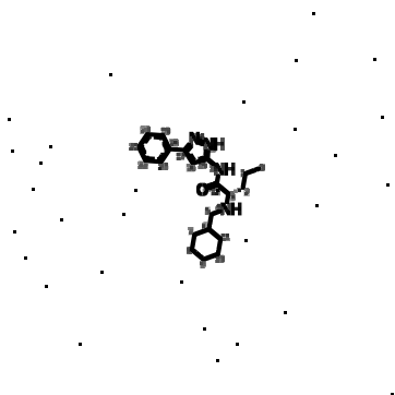 CCC[C@H](NCC1CCCCC1)C(=O)Nc1cc(-c2ccccc2)n[nH]1